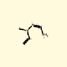 C=CN(C)/N=C\N